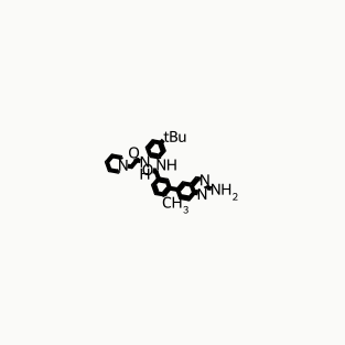 Cc1ccc(C(=O)Nc2cc(C(C)(C)C)ccc2NC(=O)CN2CCCCC2)cc1-c1ccc2nc(N)ncc2c1